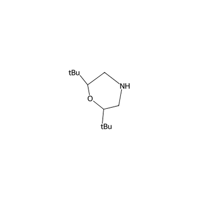 CC(C)(C)C1CNCC(C(C)(C)C)O1